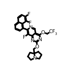 Fc1ccc2cccc(-c3ncc4c(OCC(F)(F)F)nc(OCC56CCCN5CCC6)nc4c3F)c2c1F